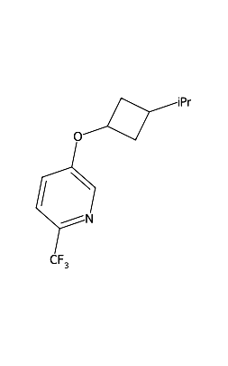 CC(C)C1CC(Oc2ccc(C(F)(F)F)nc2)C1